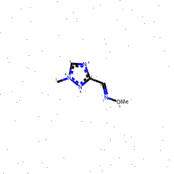 CON=Cc1ncn(C)n1